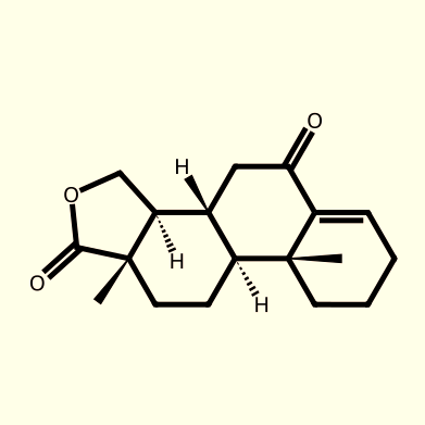 C[C@]12CCCC=C1C(=O)C[C@@H]1[C@@H]2CC[C@]2(C)C(=O)OC[C@@H]12